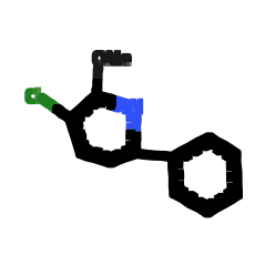 COc1nc(-c2ccccc2)ccc1Cl